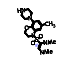 CN/C=C(\NC)S(=O)(=O)N1CCOc2c(N3CCNCC3)cc(C)cc21